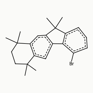 CC1(C)CCC(C)(C)c2cc3c(cc21)-c1c(Br)cccc1C3(C)C